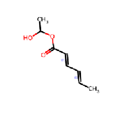 C/C=C/C=C/C(=O)OC(C)O